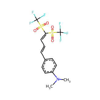 CN(C)c1ccc(C=CC=C(S(=O)(=O)C(F)(F)F)S(=O)(=O)C(F)(F)F)cc1